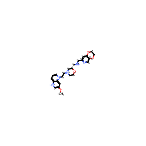 COC1=CNC2=CC=CN(CCN3CCO[C@@H](CNCc4cc5c(cn4)OCCO5)C3)C2=C1